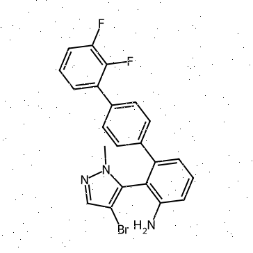 Cn1ncc(Br)c1-c1c(N)cccc1-c1ccc(-c2cccc(F)c2F)cc1